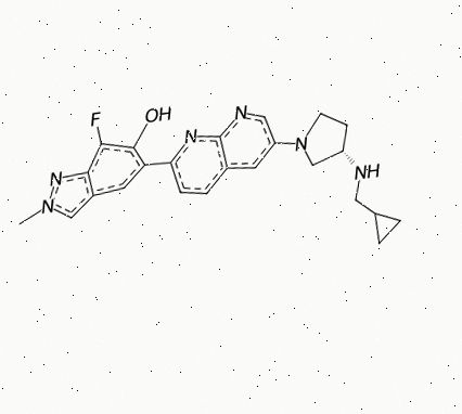 Cn1cc2cc(-c3ccc4cc(N5CC[C@H](NCC6CC6)C5)cnc4n3)c(O)c(F)c2n1